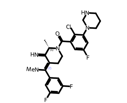 CN/C(=C1/CCN(C(=O)c2cc(F)cc(N3CCCNC3)c2Cl)[C@@H](C)C1=N)c1cc(F)cc(F)c1